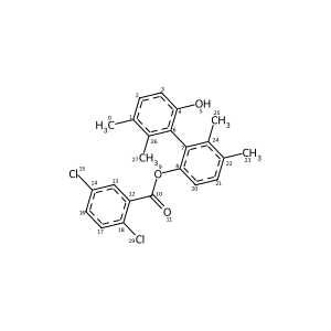 Cc1ccc(O)c(-c2c(OC(=O)c3cc(Cl)ccc3Cl)ccc(C)c2C)c1C